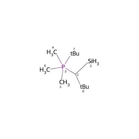 CC(C)(C)C([SiH3])P(C)(C)(C)C(C)(C)C